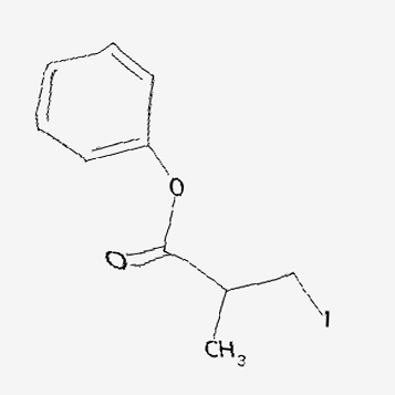 CC(CI)C(=O)Oc1ccccc1